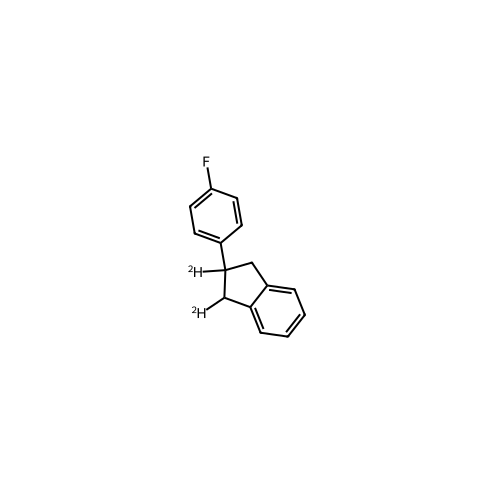 [2H]C1c2ccccc2CC1([2H])c1ccc(F)cc1